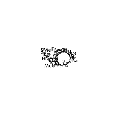 C=NCN1C(=O)O[C@H]2C[C@]1(O)C/C=C/C=C(\C)Cc1cc(OC)c(-c3ccc(NC(=O)CCSSC)cc3)c(c1)N(C)C(=O)C[C@H](OC(=O)C(C)C)[C@]1(C)O[C@H]1[C@@H]2C